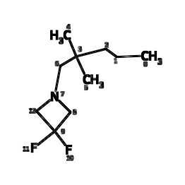 CCCC(C)(C)CN1CC(F)(F)C1